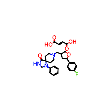 O=C(O)C=CC(=O)O.O=C1NCN(c2ccccc2)C12CCN(CC1COC(c3ccc(F)cc3)C1)CC2